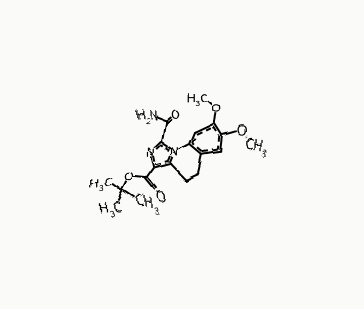 COc1cc2c(cc1OC)-n1c(C(N)=O)nc(C(=O)OC(C)(C)C)c1CC2